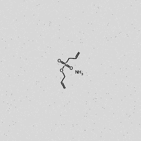 C=CCOS(=O)(=O)CC=C.N